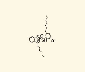 CCCCCCCc1ccccc1OP(=O)(S)Sc1ccccc1CCCCCCC.[Zn]